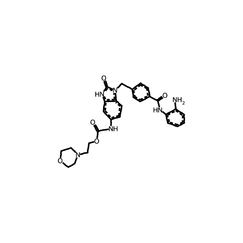 Nc1ccccc1NC(=O)c1ccc(Cn2c(=O)[nH]c3cc(NC(=O)OCCN4CCOCC4)ccc32)cc1